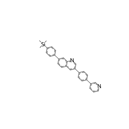 C[Si](C)(C)c1ccc(-c2ccc3cc(-c4ccc(-c5cccnc5)cc4)cnc3c2)cc1